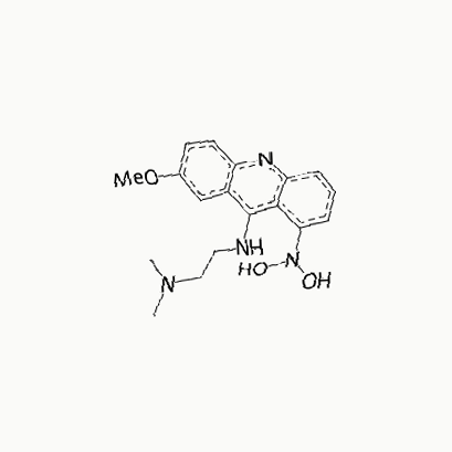 COc1ccc2nc3cccc(N(O)O)c3c(NCCN(C)C)c2c1